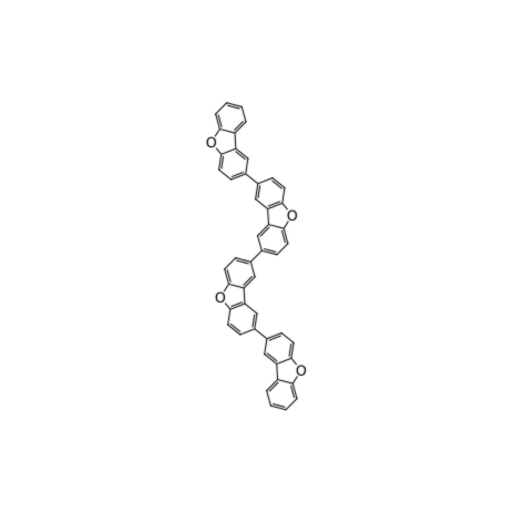 c1ccc2c(c1)oc1ccc(-c3ccc4oc5ccc(-c6ccc7oc8ccc(-c9ccc%10oc%11ccccc%11c%10c9)cc8c7c6)cc5c4c3)cc12